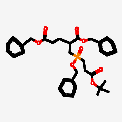 CC(C)(C)OC(=O)CCP(=O)(CC(CCC(=O)OCc1ccccc1)C(=O)OCc1ccccc1)OCc1ccccc1